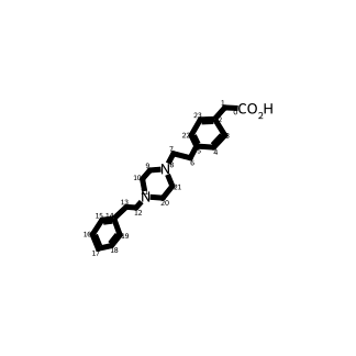 O=C(O)Cc1ccc(CCN2CCN(CCc3ccccc3)CC2)cc1